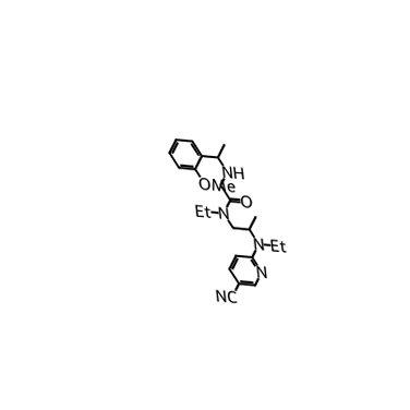 CCN(CC(C)N(CC)c1ccc(C#N)cn1)C(=O)CNC(C)c1ccccc1OC